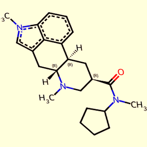 CN(C(=O)[C@@H]1C[C@@H]2c3cccc4c3c(cn4C)C[C@H]2N(C)C1)C1CCCC1